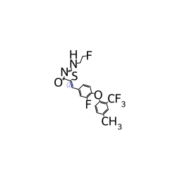 Cc1ccc(Oc2ccc(/C=C3\SC(NCCF)=NC3=O)cc2F)c(C(F)(F)F)c1